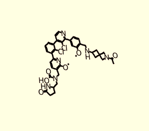 COc1cc(-c2nccc(-c3cccc(-c4ccc(CN(CC5CCC(=O)N5)C(=O)O)c(OC)n4)c3Cl)c2Cl)ccc1CNC1CC2(C1)CN(C(C)=O)C2